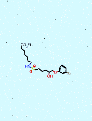 CCOC(=O)CCCCCCNS(=O)(=O)CCCCC(O)COc1cccc(Br)c1